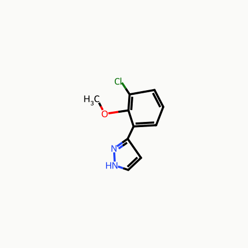 COc1c(Cl)cccc1-c1cc[nH]n1